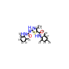 CCc1nc(NC(=O)Nc2c(C)cccc2C)sc1C(=O)Nc1c(C)cc(C)cc1C